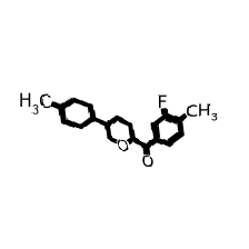 Cc1ccc(C(=O)C2CCC(C3CCC(C)CC3)CO2)cc1F